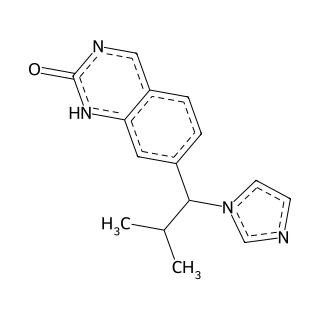 CC(C)C(c1ccc2cnc(=O)[nH]c2c1)n1ccnc1